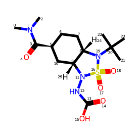 CN(C)C(=O)[C@H]1CC[C@H]2[C@@H](C1)N(NC(=O)O)S(=O)(=O)N2C(C)(C)C